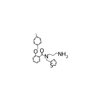 Cc1ccc(COc2ccccc2C(=O)N(CCCN)Cc2cccs2)cc1